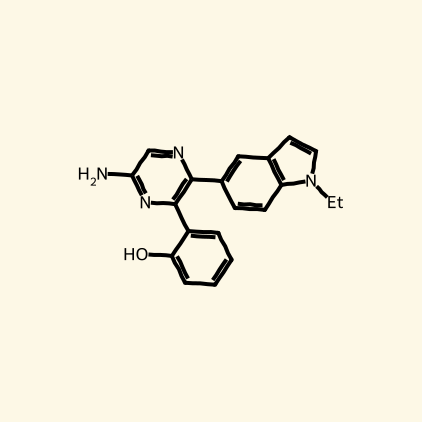 CCn1ccc2cc(-c3ncc(N)nc3-c3ccccc3O)ccc21